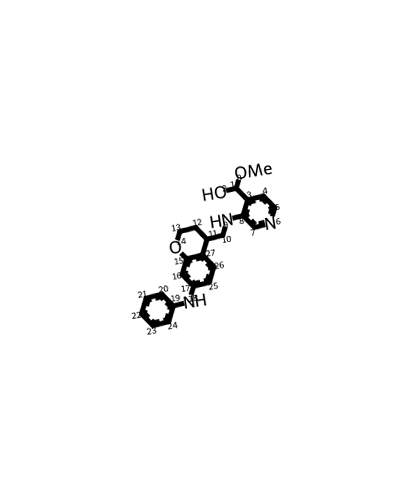 COC(O)c1ccncc1NCC1CCOc2cc(Nc3ccccc3)ccc21